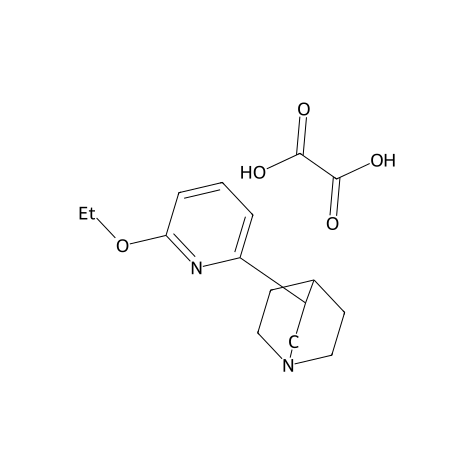 CCOc1cccc(C2CN3CCC2CC3)n1.O=C(O)C(=O)O